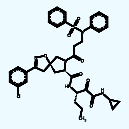 CCC[C@H](NC(=O)[C@@H]1C[C@]2(CC(c3cccc(Cl)c3)=NO2)CN1C(=O)CCN(c1ccccc1)S(=O)(=O)c1ccccc1)C(=O)C(=O)NC1CC1